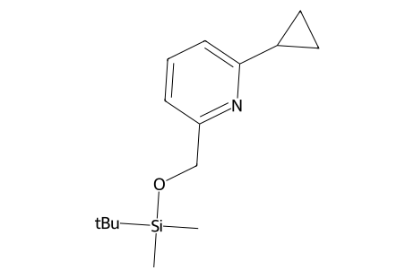 CC(C)(C)[Si](C)(C)OCc1cccc(C2CC2)n1